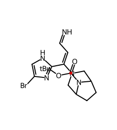 CC(C)(C)OC(=O)N1C2CCC1CN(/C(=C/C=N)c1nc(Br)c[nH]1)C2